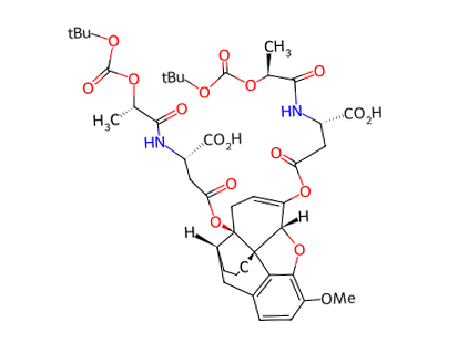 COc1ccc2c3c1O[C@H]1C(OC(=O)C[C@H](NC(=O)[C@H](C)OC(=O)OC(C)(C)C)C(=O)O)=CC[C@@]4(OC(=O)C[C@H](NC(=O)[C@H](C)OC(=O)OC(C)(C)C)C(=O)O)[C@H](CCC[C@]314)C2